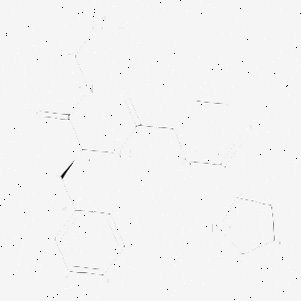 CC(C)C[C@H](NC(=O)[C@@H]1CCCN1)C(=O)N[C@@H](Cc1ccccc1)C(=O)NCC(=O)O